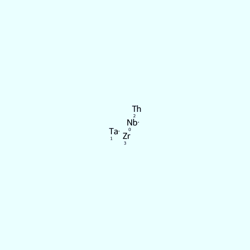 [Nb].[Ta].[Th].[Zr]